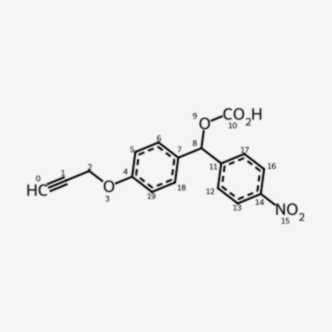 C#CCOc1ccc(C(OC(=O)O)c2ccc([N+](=O)[O-])cc2)cc1